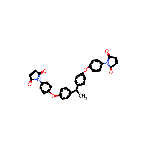 CC(c1ccc(Oc2ccc(N3C(=O)C=CC3=O)cc2)cc1)c1ccc(Oc2ccc(N3C(=O)C=CC3=O)cc2)cc1